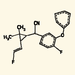 CC1(C)C(C=CF)C1C(C#N)c1ccc(F)c(Oc2ccccc2)c1